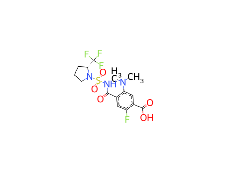 CN(C)c1cc(C(=O)O)c(F)cc1C(=O)NS(=O)(=O)N1CCC[C@@H]1C(F)(F)F